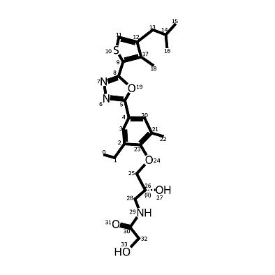 CCc1cc(-c2nnc(-c3scc(CC(C)C)c3C)o2)cc(C)c1OC[C@H](O)CNC(=O)CO